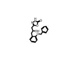 O=c1[nH]nc(CC(O)Cc2ccccc2OCc2ccccc2)o1